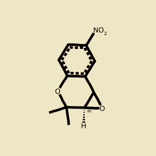 CC1(C)Oc2ccc([N+](=O)[O-])cc2C2O[C@H]21